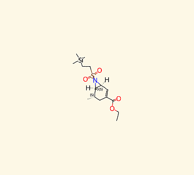 CCOC(=O)C1=C[C@H]2[C@@H]([C@@H](C)C1)N2S(=O)(=O)CC[Si](C)(C)C